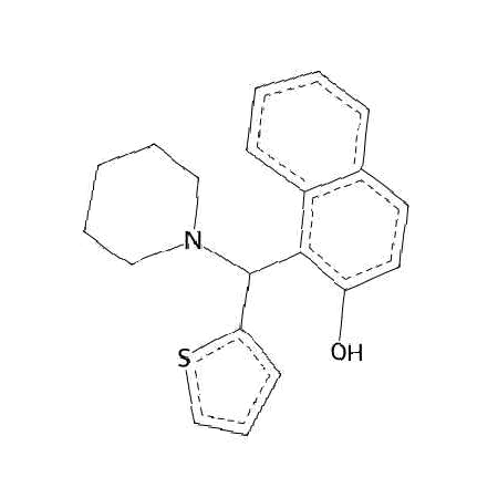 Oc1ccc2ccccc2c1C(c1cccs1)N1CCCCC1